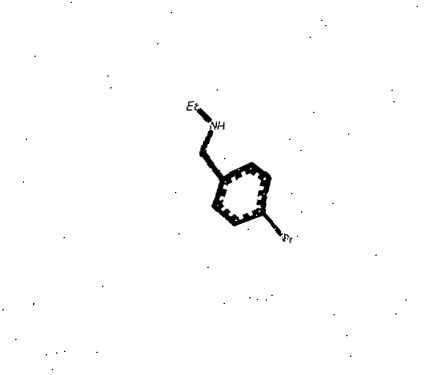 CCNCc1ccc(C(C)C)cc1